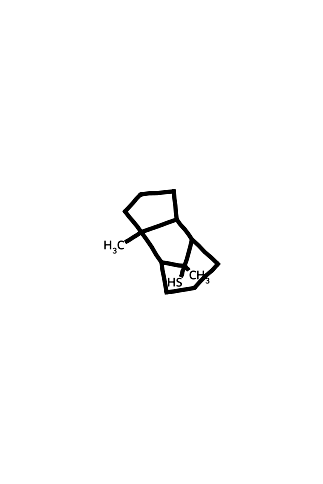 CC1(S)C2CCCC1C1(C)CCCC21